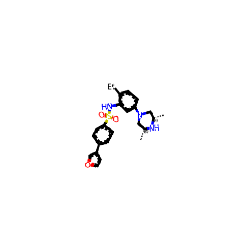 CCc1ccc(N2C[C@@H](C)N[C@@H](C)C2)cc1NS(=O)(=O)c1ccc(-c2ccoc2)cc1